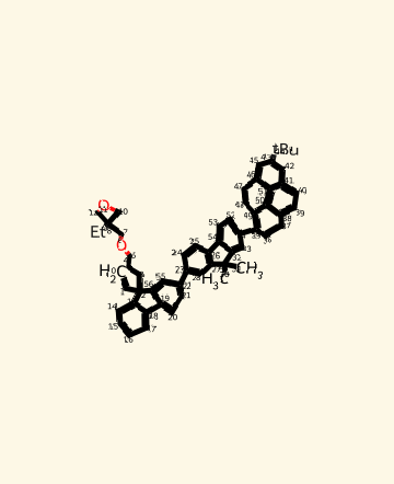 C=CC1(CCCOCC2(CC)COC2)c2ccccc2-c2ccc(-c3ccc4c(c3)C(C)(C)c3cc(-c5ccc6ccc7cc(C(C)(C)C)cc8ccc5c6c78)ccc3-4)cc21